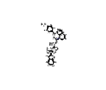 O=C(NC/C(F)=C1\CCCc2cnn(Cc3ccc(C(F)(F)F)cc3)c21)NS(=O)(=O)c1cc2ccccc2s1